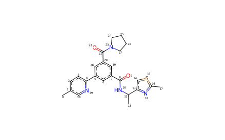 Cc1ccc(-c2cc(C(=O)NC(C)c3csc(C)n3)cc(C(=O)N3CCCC3)c2)nc1